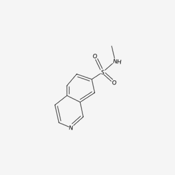 CNS(=O)(=O)c1ccc2ccncc2c1